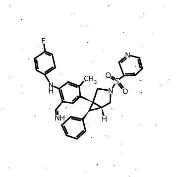 Cc1cc(Nc2ccc(F)cc2)c(C=N)cc1[C@@]12CN(S(=O)(=O)c3cccnc3)C[C@@H]1[C@H]2c1ccccc1